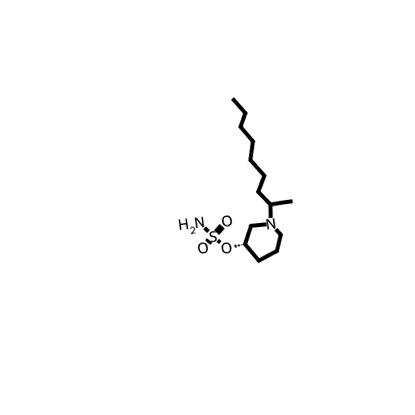 CCCCCCCC(C)N1CCC[C@H](OS(N)(=O)=O)C1